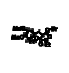 CCOP(=O)(OCC)C(Cc1ccc(OC)c(OC)c1)C(=O)OC(C)C